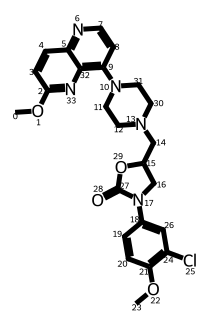 COc1ccc2nccc(N3CCN(CC4CN(c5ccc(OC)c(Cl)c5)C(=O)O4)CC3)c2n1